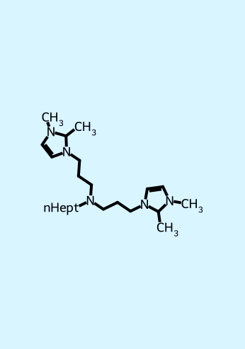 CCCCCCCN(CCCN1C=CN(C)C1C)CCCN1C=CN(C)C1C